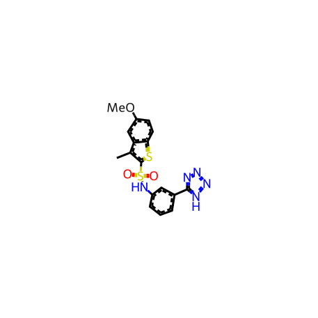 COc1ccc2sc(S(=O)(=O)Nc3cccc(-c4nnn[nH]4)c3)c(C)c2c1